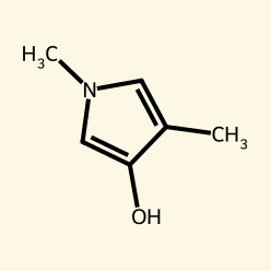 Cc1cn(C)cc1O